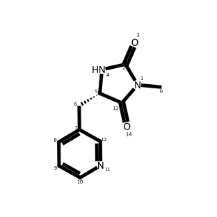 CN1C(=O)N[C@@H](Cc2cccnc2)C1=O